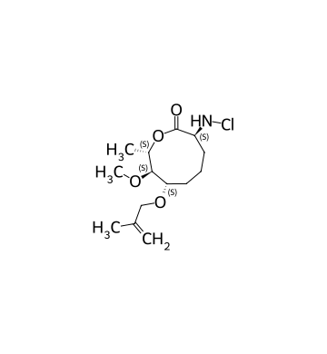 C=C(C)CO[C@H]1CCC[C@H](NCl)C(=O)O[C@@H](C)[C@@H]1OC